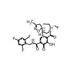 CC1=NO[C@@]2(CC[C@H](CF)N3C[C@H]2n2cc(C(=O)NCc4c(F)cc(F)cc4F)c(=O)c(O)c2C3=O)C1